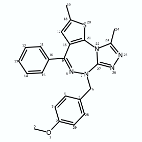 COc1ccc(CN2N=C(c3ccccc3)c3cc(C)sc3-n3c(C)nnc32)cc1